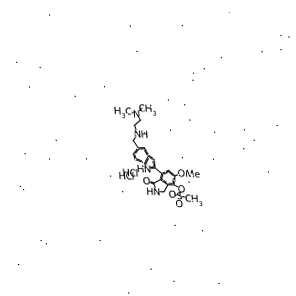 COc1cc(-c2cc3cc(CNCCN(C)C)ccc3[nH]2)c2c(c1OS(C)(=O)=O)CNC2=O.Cl.Cl